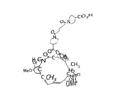 COc1cc2cc(c1Cl)N(C)C(=O)C[C@H](OC(=O)C1CCN(C(=O)CCCC(=O)N3CCC(C(=O)O)CC3)CC1)[C@]1(C)OC1[C@H](C)[C@@H]1C[C@@](O)(NC(=O)O1)[C@H](OC)/C=C/C=C(\C)C2